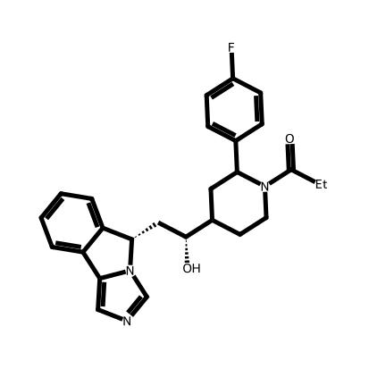 CCC(=O)N1CCC([C@H](O)C[C@H]2c3ccccc3-c3cncn32)CC1c1ccc(F)cc1